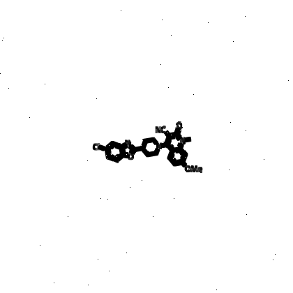 COc1ccc2c(N3CCC(c4nc5cc(Cl)ccc5o4)CC3)c(C#N)c(=O)n(C)c2c1